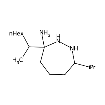 CCCCCCC(C)C1(N)CCCC(C(C)C)NN1